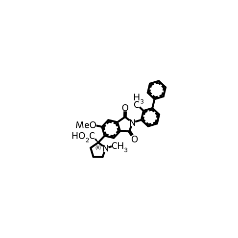 COc1cc2c(cc1[C@@]1(C(=O)O)CCCN1C)C(=O)N(c1cccc(-c3ccccc3)c1C)C2=O